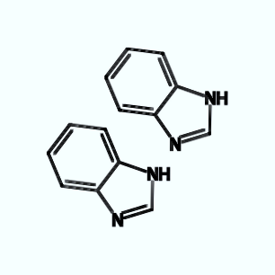 c1ccc2[nH]cnc2c1.c1ccc2[nH]cnc2c1